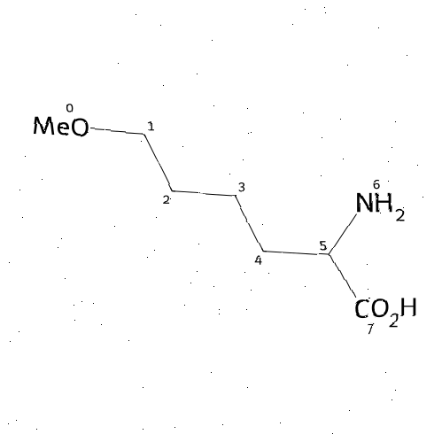 COCCCCC(N)C(=O)O